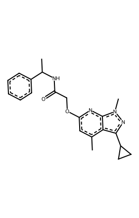 Cc1cc(OCC(=O)NC(C)c2ccccc2)nc2c1c(C1CC1)nn2C